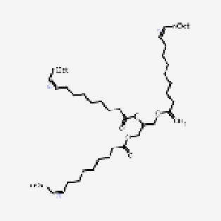 C=C(CCCCCCC/C=C\CCCCCCCC)OCC(COC(=O)CCCCCCC/C=C\CCCCCCCC)OC(=O)CCCCCCC/C=C\CCCCCCCC